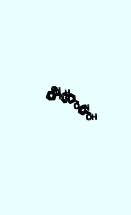 OCc1ccc(OC[C@@H]2CC[C@H]3CN(c4noc5ccccc45)CCN3C2)cn1